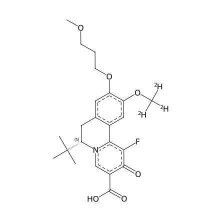 [2H]C([2H])([2H])Oc1cc2c(cc1OCCCOC)C[C@@H](C(C)(C)C)n1cc(C(=O)O)c(=O)c(F)c1-2